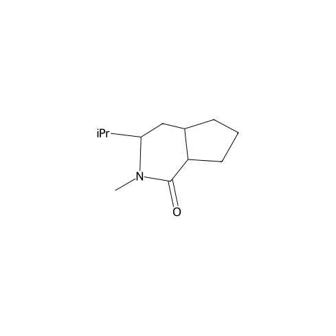 CC(C)C1CC2CCCC2C(=O)N1C